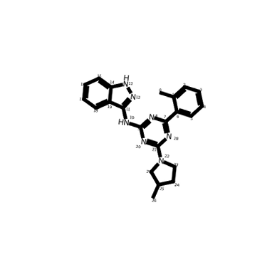 Cc1ccccc1-c1nc(Nc2n[nH]c3ccccc23)nc(N2CCC(C)C2)n1